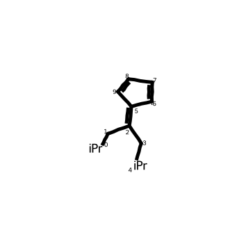 CC(C)CC(CC(C)C)=C1[C]=CC=C1